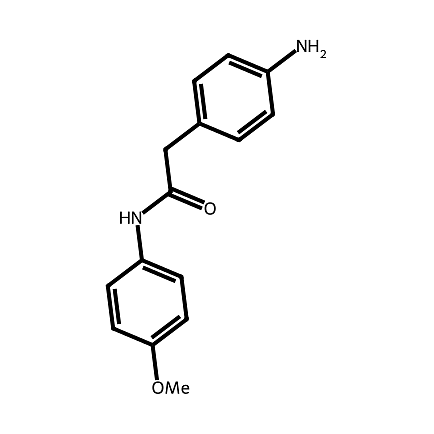 COc1ccc(NC(=O)Cc2ccc(N)cc2)cc1